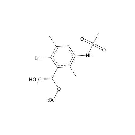 Cc1cc(NS(C)(=O)=O)c(C)c([C@H](OC(C)(C)C)C(=O)O)c1Br